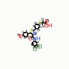 COc1ccc(-c2sc(-c3ccc(SC(C)(C)C(=O)O)cc3)nc2C(=O)Nc2ccc(Cl)c(Cl)c2)cc1